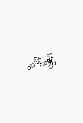 COc1ccc(C(CNC(=O)COc2cc(C(F)(F)F)nn2-c2ccccc2Cl)N2CCCC2)cc1